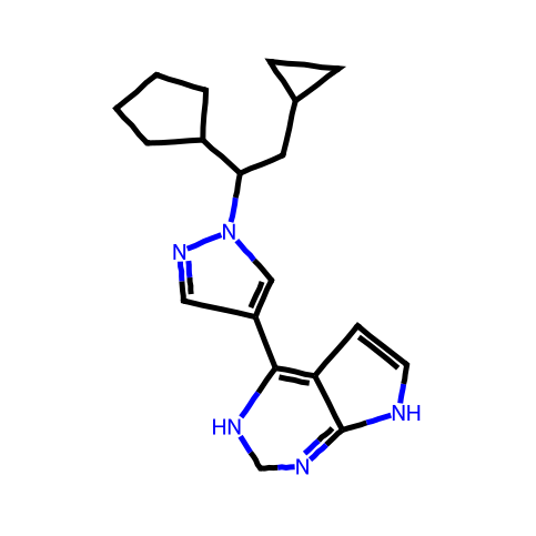 c1cc2c([nH]1)=NCNC=2c1cnn(C(CC2CC2)C2CCCC2)c1